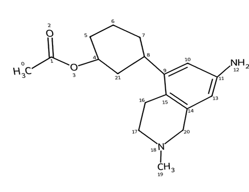 CC(=O)OC1CCCC(c2cc(N)cc3c2CCN(C)C3)C1